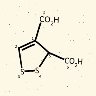 O=C(O)C1=CSSC1C(=O)O